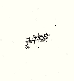 C=N/C(=N\C=C(/C)N1C[C@]2(CC[C@](c3cccs3)(N(C)C)CC2)NC1=O)N(C)CCO